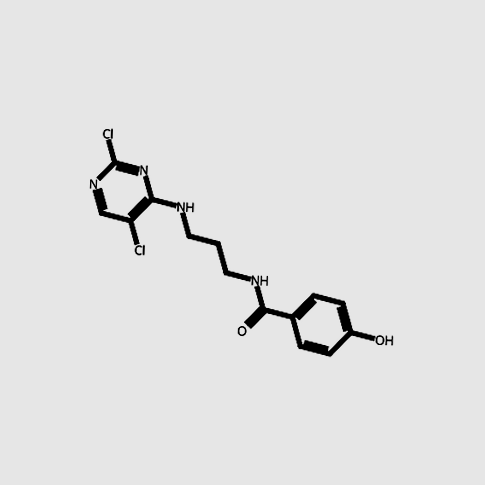 O=C(NCCCNc1nc(Cl)ncc1Cl)c1ccc(O)cc1